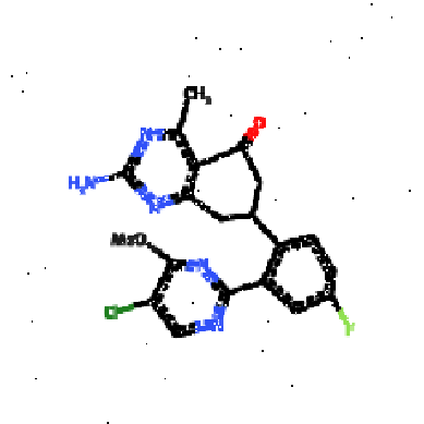 COc1nc(-c2cc(F)ccc2C2CC(=O)c3c(C)nc(N)nc3C2)ncc1Cl